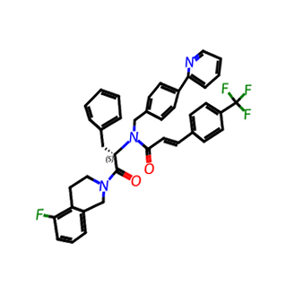 O=C([C@H](Cc1ccccc1)N(Cc1ccc(-c2ccccn2)cc1)C(=O)C=Cc1ccc(C(F)(F)F)cc1)N1CCc2c(F)cccc2C1